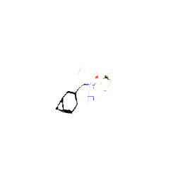 O=S(=O)(O)C(F)(F)S(=O)(=O)NCC1CC=C2CC2C1